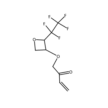 C=CC(=O)COC1COC1C(F)(F)C(F)(F)F